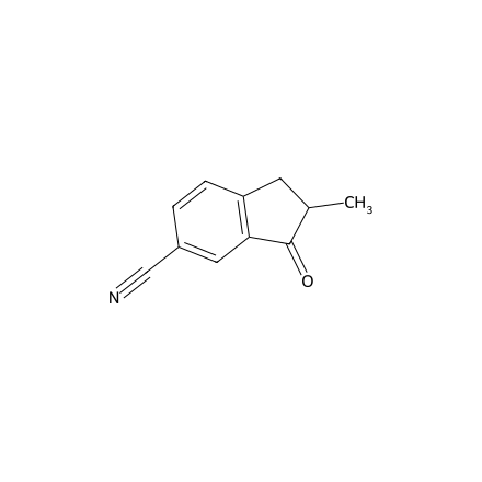 CC1Cc2ccc(C#N)cc2C1=O